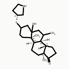 CC1CC2(O)CC(S[C@@H]3CCNC3)CC[C@]2(C)[C@@H]2CC[C@]3(C)C(=O)CC[C@H]3[C@H]12